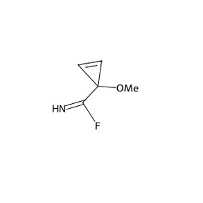 COC1(C(=N)F)C=C1